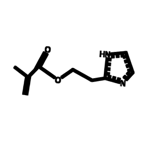 C=C(C)C(=O)OCCc1ncc[nH]1